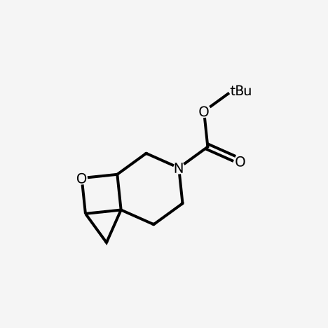 CC(C)(C)OC(=O)N1CCC23CC2OC3C1